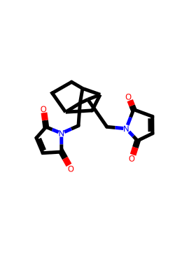 O=C1C=CC(=O)N1CC1C2CC3CCC2C31CN1C(=O)C=CC1=O